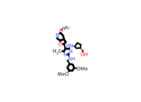 CCCOc1cc2cc(-c3c(C)nc(NCc4cc(OC)cc(OC)c4)nc3N[C@H]3CC[C@@H](CO)C3)oc2cn1